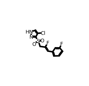 O=S(=O)(CC(F)=Cc1cccc(F)c1)c1n[nH]cc1Cl